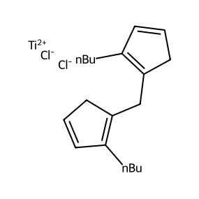 CCCCC1=C(CC2=C(CCCC)C=CC2)CC=C1.[Cl-].[Cl-].[Ti+2]